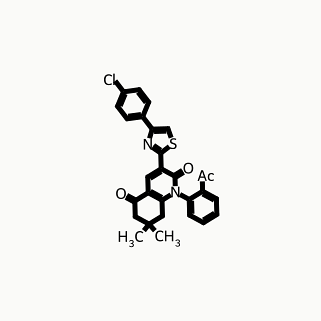 CC(=O)c1ccccc1-n1c2c(cc(-c3nc(-c4ccc(Cl)cc4)cs3)c1=O)C(=O)CC(C)(C)C2